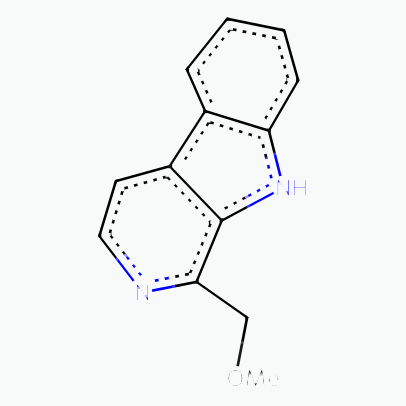 COCc1nccc2c1[nH]c1ccccc12